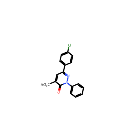 O=C(O)c1cc(-c2ccc(Cl)cc2)nn(-c2ccccc2)c1=O